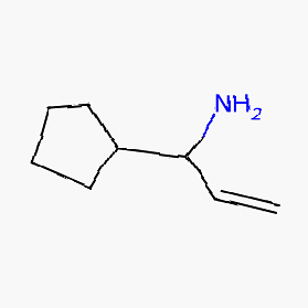 C=CC(N)C1CCCC1